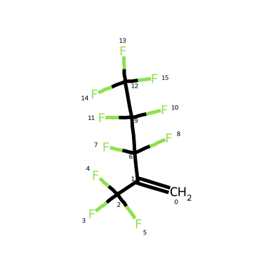 C=C(C(F)(F)F)C(F)(F)C(F)(F)C(F)(F)F